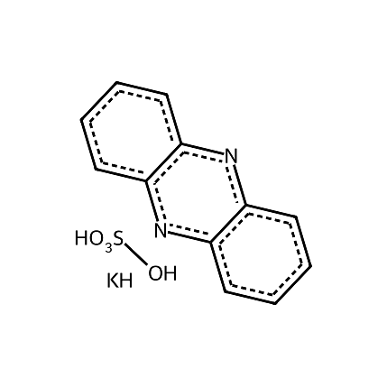 O=S(=O)(O)O.[KH].c1ccc2nc3ccccc3nc2c1